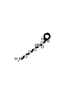 NCCOCCOCCOCCNC(=O)OCC1[C@H]2CCC#CCC[C@@H]12